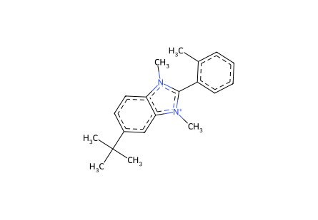 Cc1ccccc1-c1n(C)c2ccc(C(C)(C)C)cc2[n+]1C